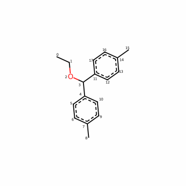 CCOC(c1ccc(C)cc1)c1ccc(C)cc1